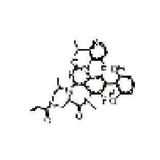 C=CC(=O)N1CC(C)N2c3nc(=O)n(-c4c(C)ccnc4C(C)C)c4c(F)c(-c5c(O)cccc5O)c(F)c(c34)N(C)C(=O)C2C1